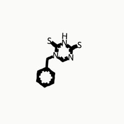 S=c1ncn(Cc2ccccc2)c(=S)[nH]1